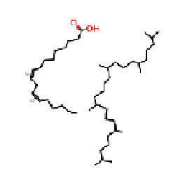 CC(C)CCCC(C)CCCC(C)CCCCC(C)CCCC(C)CCCC(C)C.CCCCC/C=C\C/C=C\CCCCCCCC(=O)O